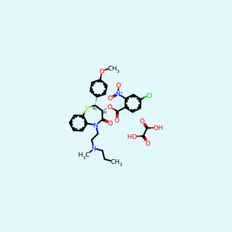 CCCN(C)CCN1C(=O)[C@@H](OC(=O)c2ccc(Cl)cc2[N+](=O)[O-])[C@@H](c2ccc(OC)cc2)Sc2ccccc21.O=C(O)C(=O)O